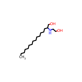 CCCCCCCCCCCCCCC(CO)NCCO